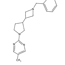 Cc1cnc(N2CCC(C3CN(Cc4ccccc4)C3)C2)nc1